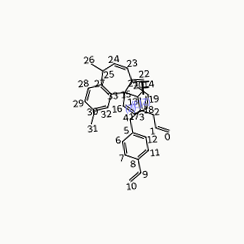 C=CC/C(Cc1ccc(C=C)cc1)=C(\F)C1(/C=C\C=C/C)C(=C)C=CC(C)c2ccc(C)cc21